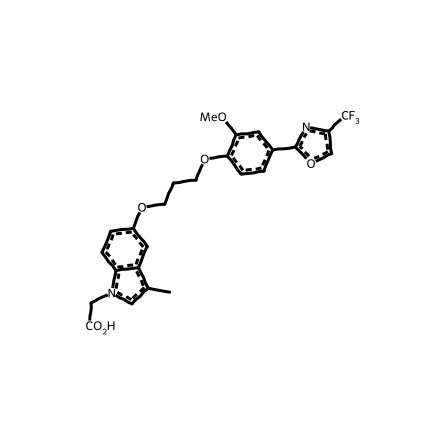 COc1cc(-c2nc(C(F)(F)F)co2)ccc1OCCCOc1ccc2c(c1)c(C)cn2CC(=O)O